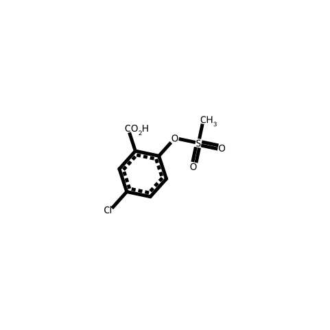 CS(=O)(=O)Oc1ccc(Cl)cc1C(=O)O